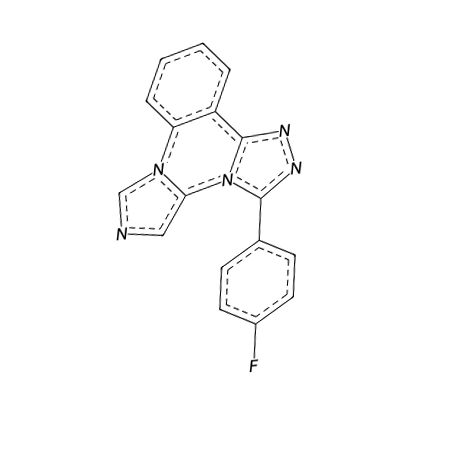 Fc1ccc(-c2nnc3c4ccccc4n4cncc4n23)cc1